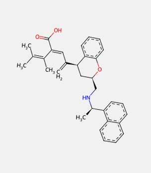 C=C(/C=C(/C(=O)O)C(C)=C(C)C)[C@@H]1C[C@H](CN[C@H](C)c2cccc3ccccc23)Oc2ccccc21